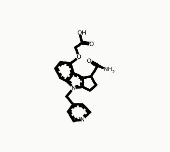 NC(=O)C1CCc2c1c1c(OCC(=O)O)cccc1n2Cc1ccncc1